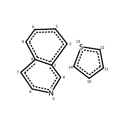 c1ccc2cnccc2c1.c1ccsc1